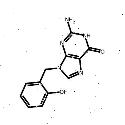 Nc1nc2c(ncn2Cc2ccccc2O)c(=O)[nH]1